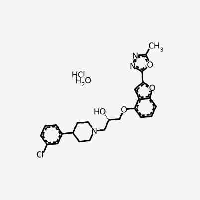 Cc1nnc(-c2cc3c(OC[C@@H](O)CN4CCC(c5cccc(Cl)c5)CC4)cccc3o2)o1.Cl.O